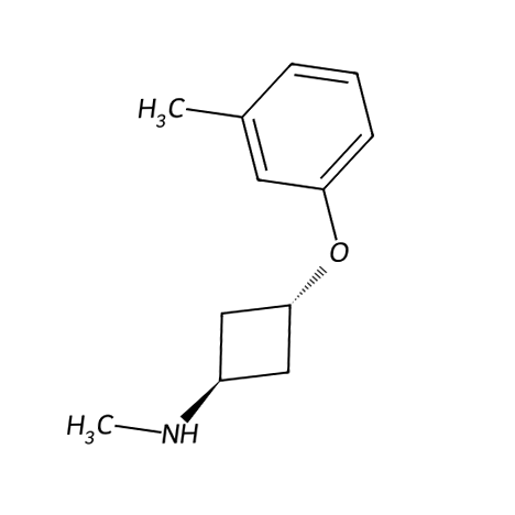 CN[C@H]1C[C@H](Oc2cccc(C)c2)C1